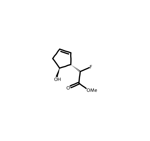 COC(=O)C(F)[C@H]1C=CC[C@@H]1O